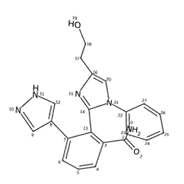 NC(=O)c1cccc(-c2cn[nH]c2)c1-c1nc(CCO)cn1-c1ccccc1